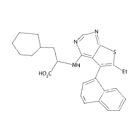 CCc1sc2ncnc(NC(CC3CCCCC3)C(=O)O)c2c1-c1cccc2ccccc12